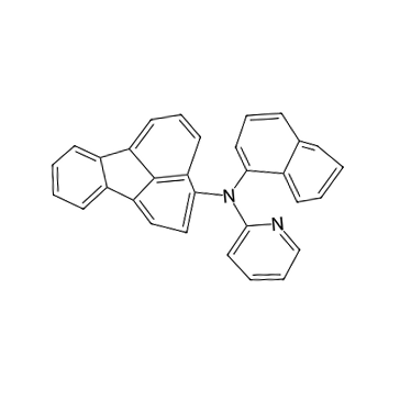 c1ccc(N(c2cccc3ccccc23)c2ccc3c4c(cccc24)-c2ccccc2-3)nc1